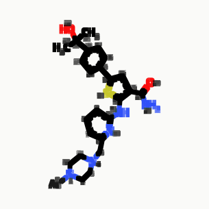 CC(=O)N1CCN(Cc2cccc(Nc3sc(-c4ccc(C(C)(C)O)cc4)cc3C(N)=O)n2)CC1